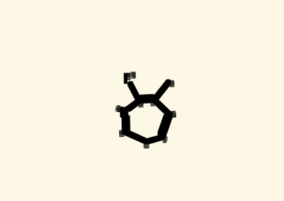 CC1=C(F)N=CCC=C1